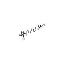 CCOCCOCCOC=C[SiH](C)C